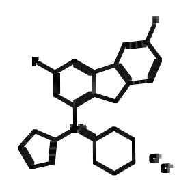 Fc1ccc2c(c1)-c1cc(F)c[c]([Zr+2]([C]3=CC=CC3)=[C]3CCCCC3)c1C2.[Cl-].[Cl-]